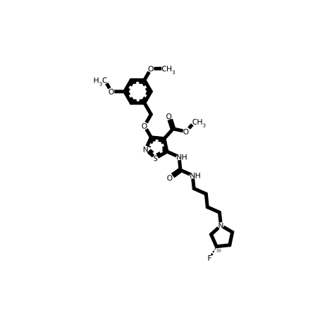 COC(=O)c1c(OCc2cc(OC)cc(OC)c2)nsc1NC(=O)NCCCCN1CC[C@H](F)C1